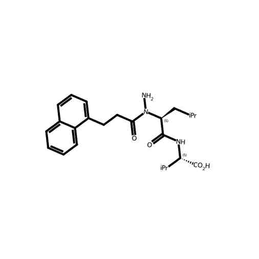 CC(C)C[C@@H](C(=O)N[C@H](C(=O)O)C(C)C)N(N)C(=O)CCc1cccc2ccccc12